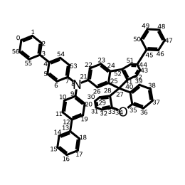 c1ccc(-c2ccc(N(c3ccc(-c4ccccc4)cc3)c3ccc4c(c3)C3(c5ccccc5Oc5ccccc53)c3ccc(-c5ccccc5)cc3-4)cc2)cc1